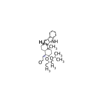 CC(C)OC1(OC(C)C)CC[C@@]2(C)C(CC[C@H]3Cc4c([nH]c5ccccc45)[C@@]32C)/C1=C/C=O